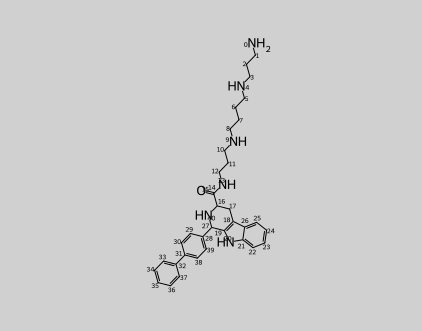 NCCCNCCCCNCCCNC(=O)C1Cc2c([nH]c3ccccc23)C(c2ccc(-c3ccccc3)cc2)N1